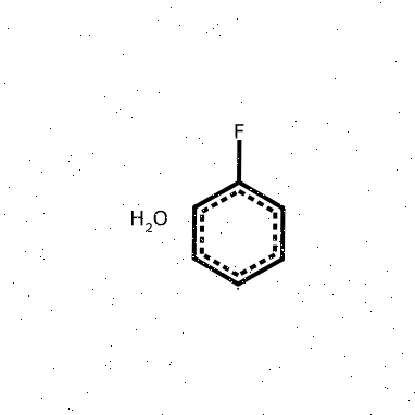 Fc1cc[c]cc1.O